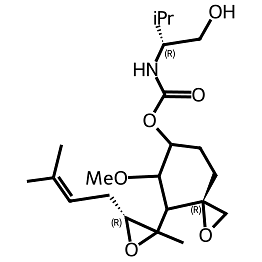 COC1C(OC(=O)N[C@@H](CO)C(C)C)CC[C@]2(CO2)C1C1(C)O[C@@H]1CC=C(C)C